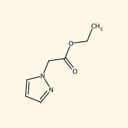 CCOC(=O)Cn1cc[c]n1